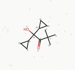 CC(C)(C)C(=O)C(O)(C1CC1)C1CC1